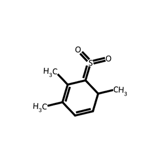 CC1=C(C)C(=S(=O)=O)C(C)C=C1